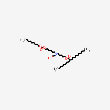 CCCCCCCCCCC(CCCCCCCC)C(=O)OCCCCCN(CCO)CCCCCCOC(=O)OCCCCCCCCC